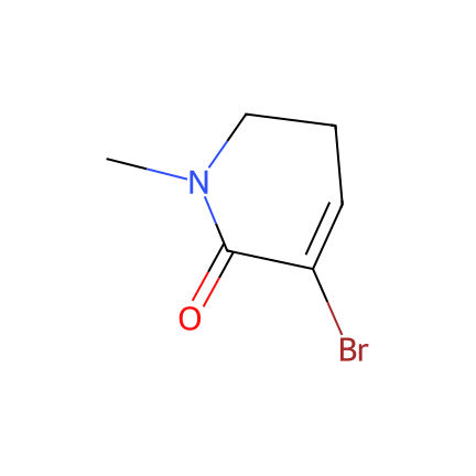 CN1CCC=C(Br)C1=O